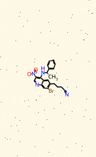 C[C@@H](Nc1c([N+](=O)[O-])cnc2cc(Br)c(CCCC#N)cc12)c1ccccc1